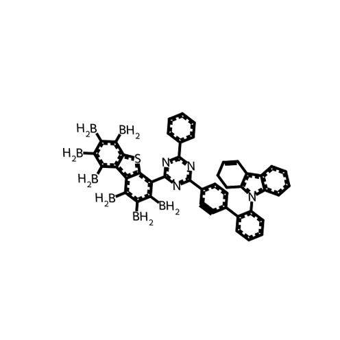 Bc1c(B)c(B)c2c(sc3c(-c4nc(-c5c#cc(-c6ccccc6-n6c7c(c8ccccc86)C=CCC7)cc5)nc(-c5ccccc5)n4)c(B)c(B)c(B)c32)c1B